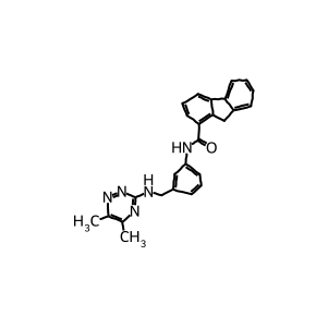 Cc1nnc(NCc2cccc(NC(=O)c3cccc4c3Cc3ccccc3-4)c2)nc1C